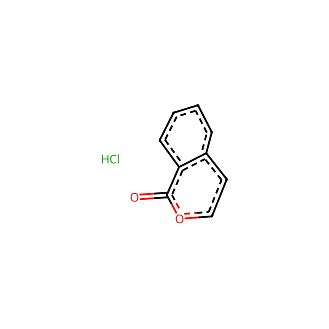 Cl.O=c1occc2ccccc12